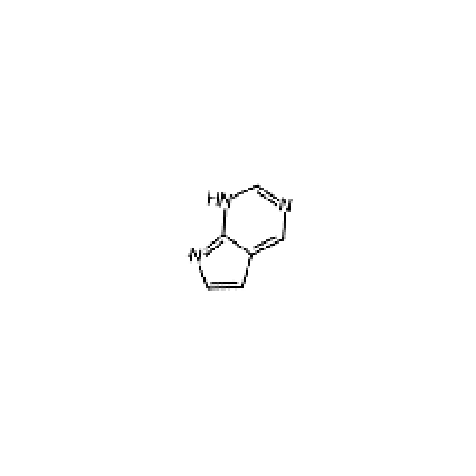 C1=CC2=CN=CNC2=[N+]1